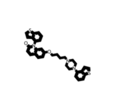 O=c1ccc2ccc(OCCCCN3CCN(c4cccc5sccc45)CC3)cc2n1-c1cccc2sccc12